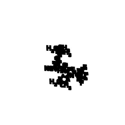 CC1(C)CC=C(c2nc(C3=CC4(CF)C=CC(CF)(C3)O4)ccc2NC(=O)c2nc(C#N)cn2COCC[Si](C)(C)C)CC1